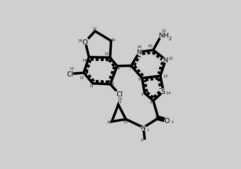 CN(C(=O)c1cc2c(-c3c(Cl)cc(Cl)c4c3CCO4)nc(N)nc2s1)C1CC1